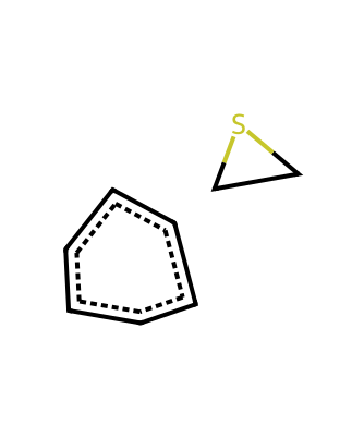 C1CS1.c1ccccc1